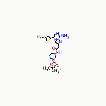 Cc1csc(-c2cnc(N)c3nc(CC(=O)N[C@H]4CCCN(C(=O)OC(C)(C)C)C4)cn23)c1